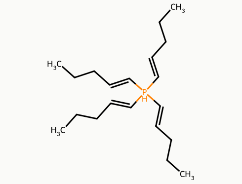 CCCC=C[PH](C=CCCC)(C=CCCC)C=CCCC